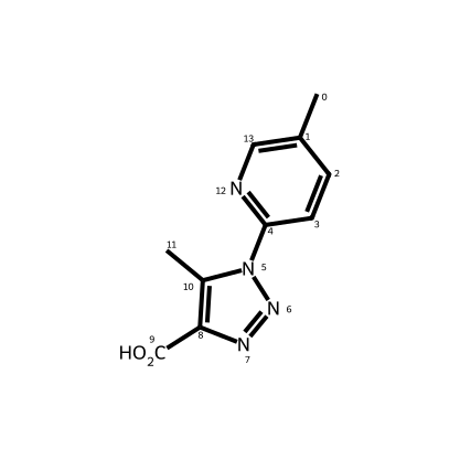 Cc1ccc(-n2nnc(C(=O)O)c2C)nc1